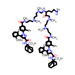 [2H]NCCCC(NCN(C)CCCN(C)CCCN(C)C(=O)c1ccc(-n2nc(C(=O)NC3(C(=O)O)C4CC5CC(C4)CC3C5)cc2-c2c(OC)cccc2OC)c(C(C)C)c1)C(=O)CN(C)CCCN(C)CCCN(C)C(=O)c1ccc(-n2nc(C(=O)NC3(C(=O)O)C4CC5CC(C4)CC3C5)cc2-c2c(OC)cccc2OC)c(C(C)C)c1